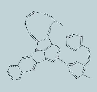 Cc1ccc(-c2cc3c4/c(n5c6cc7ccccc7cc6c(c2)c35)=C\C/C=C\C=C/C(C)/C=4)cc1/C=C\c1ccccc1